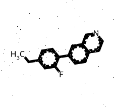 CCc1ccc(-c2ccc3ccncc3c2)c(F)c1